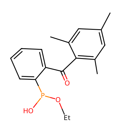 CCOP(O)c1ccccc1C(=O)c1c(C)cc(C)cc1C